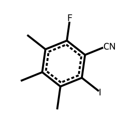 Cc1c(C)c(F)c(C#N)c(I)c1C